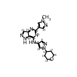 Cn1cc(-c2nc(Nc3cnn(C4CCOCC4)c3)c3[nH]ncc3n2)cn1